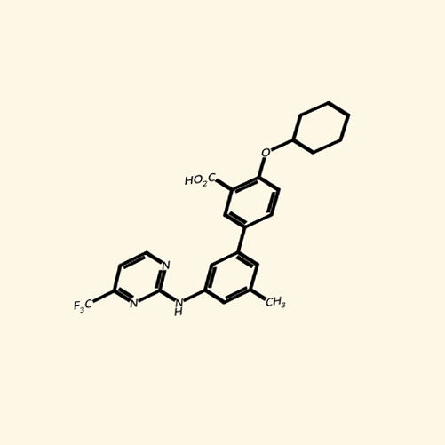 Cc1cc(Nc2nccc(C(F)(F)F)n2)cc(-c2ccc(OC3CCCCC3)c(C(=O)O)c2)c1